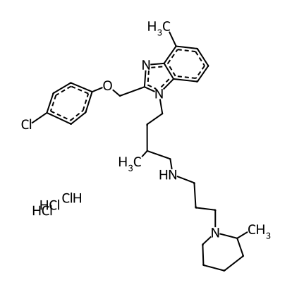 Cc1cccc2c1nc(COc1ccc(Cl)cc1)n2CCC(C)CNCCCN1CCCCC1C.Cl.Cl.Cl